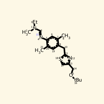 CCN(C)/C=N/c1cc(C)c(Cc2nc(COC(C)(C)C)cs2)cc1C